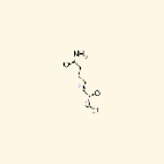 CCOC(=O)/C=C/CCC(N)=O